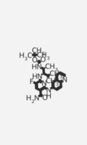 CC(C)[C@@H](Nc1nc(Nc2ccc3ncccc3c2)c(C(N)=O)cc1F)[C@H](C)NC(=O)OC(C)(C)C